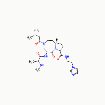 CN[C@@H](C)C(=O)N[C@H]1CN(C(=O)CC(C)C)CC[C@H]2CC[C@@H](C(=O)NCCn3ccnc3)N2C1=O